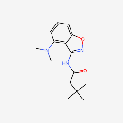 CN(C)c1cccc2onc(NC(=O)CC(C)(C)C)c12